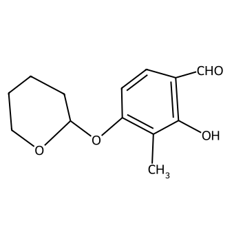 Cc1c(OC2CCCCO2)ccc(C=O)c1O